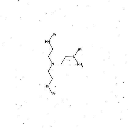 CC(C)NCCN(CCNC(C)C)CCN(N)C(C)C